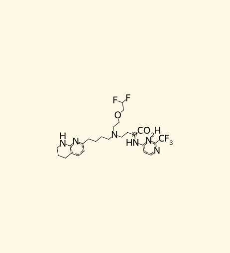 O=C(O)[C@H](CCN(CCCCc1ccc2c(n1)NCCC2)CCOCC(F)F)Nc1ccnc(C(F)(F)F)n1